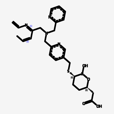 C=C/N=C(\C=C/C)CN(Cc1ccccn1)Cc1ccc(CS[C@H]2CC[C@@H](CC(=O)O)OB2O)cn1